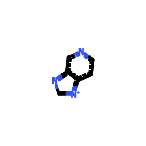 C1=[N+]=c2ccncc2=N1